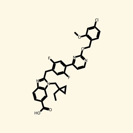 CCC1(Cn2c(Cc3cc(F)c(-c4ccnc(OCc5ccc(Cl)cc5OC)n4)cc3F)nc3ccc(C(=O)O)cc32)CC1